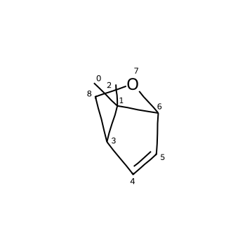 CC1(C)C2C=CC1OC2